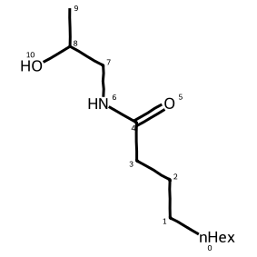 CCCCCCCCCC(=O)NCC(C)O